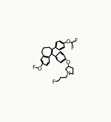 FCCCN1CC[C@H](Oc2ccc(C3=C(c4ccc(OC(F)F)cc4)CCCc4cc(OF)ccc43)cc2)C1